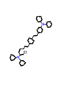 CC/C=C(\C=C/C/C=C/c1ccc(/C=C/c2ccc(N(c3ccccc3)c3ccccc3)cc2)cc1)N(c1ccccc1)c1ccccc1